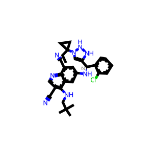 CCC1(N2C=C([C@@H](Nc3cc(C#N)c4ncc(C#N)c(NCC(C)(C)C)c4c3)c3ccccc3Cl)NN2)CC1